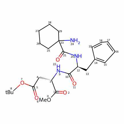 COC(=O)[C@H](CC(=O)OC(C)(C)C)NC(=O)[C@H](Cc1ccccc1)NC(=O)C1(N)CCCCC1